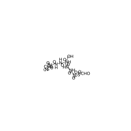 O=C[C@@H]1CCCN1SC1CC(=O)N(CCC(=O)NCCNC(=O)CC(CC(=O)NCCNC(=O)CCN2C(=O)CC(SN3CCC[C@H]3C=O)C2=O)NC(=O)CCO)C1=O